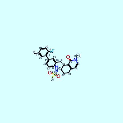 CCn1ccc2c(c1=O)[C@@H](Cc1cccc(-c3cc(C)ccc3F)c1)[C@@H](NS(C)(=O)=O)CC2